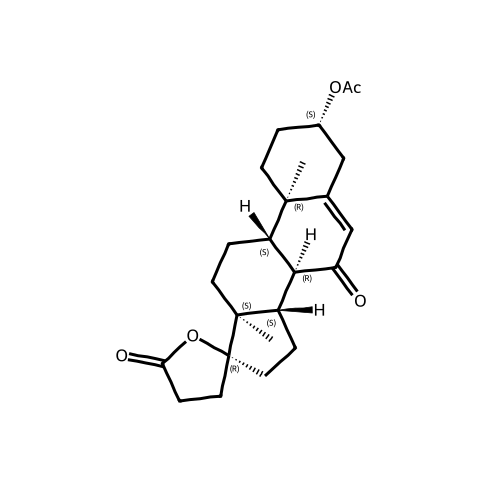 CC(=O)O[C@H]1CC[C@@]2(C)C(=CC(=O)[C@@H]3[C@@H]2CC[C@@]2(C)[C@H]3CC[C@@]23CCC(=O)O3)C1